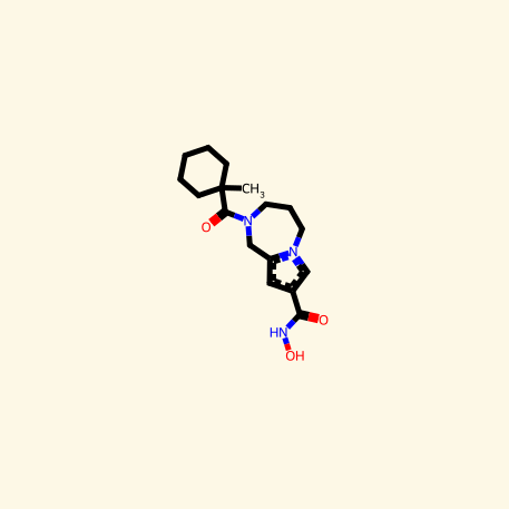 CC1(C(=O)N2CCCn3cc(C(=O)NO)cc3C2)CCCCC1